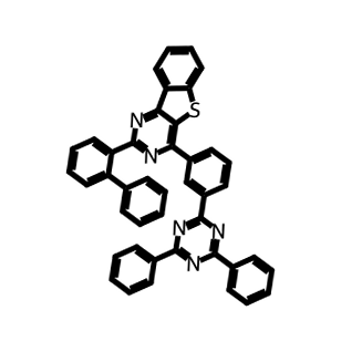 c1ccc(-c2nc(-c3ccccc3)nc(-c3cccc(-c4nc(-c5ccccc5-c5ccccc5)nc5c4sc4ccccc45)c3)n2)cc1